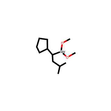 CO[SiH](OC)C(CC(C)C)C1CCCC1